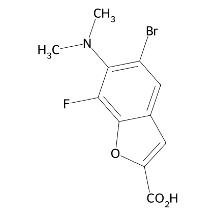 CN(C)c1c(Br)cc2cc(C(=O)O)oc2c1F